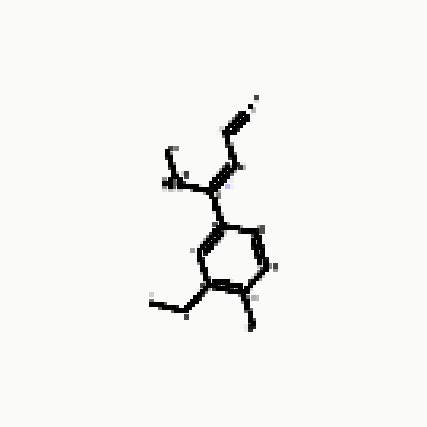 CCc1cc(/C(=C/C=N)NC)ccc1C